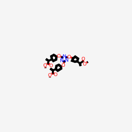 C=C(C(=O)OC)c1ccc(Oc2nc(Oc3ccc(C(=C)C(=O)OC)cc3)nc(Oc3ccc(C(=C)C(=O)OC)cc3)n2)cc1